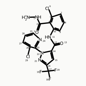 NNC(=O)c1c(Cl)cccc1NC(=O)c1cc(C(F)(F)F)nn1-c1ncccc1Cl